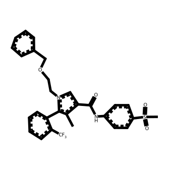 Cc1c(C(=O)Nc2ccc(S(C)(=O)=O)cc2)cn(CCOCc2ccccc2)c1-c1ccccc1C(F)(F)F